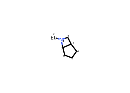 [CH2]CN1CC2CCCC21